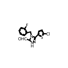 O=CC1NN=C(c2ccc(Cl)s2)N1Cc1ccccc1F